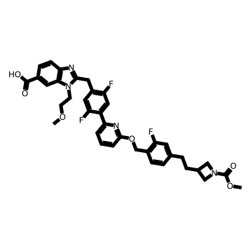 COCCn1c(Cc2cc(F)c(-c3cccc(OCc4ccc(CCC5CN(C(=O)OC)C5)cc4F)n3)cc2F)nc2ccc(C(=O)O)cc21